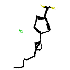 CCCCC12CC(c3ccc(C(=S)S)cc3)(C1)C2.Cl